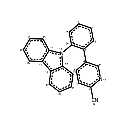 N#Cc1ccc(-c2ccccc2-n2c3ccccc3c3ccccc32)cn1